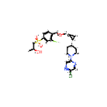 CC(O)CS(=O)(=O)c1ccc(COC[C@@H]2C[C@@H]2C2CCN(c3cnc(Cl)cn3)CC2)c(F)c1